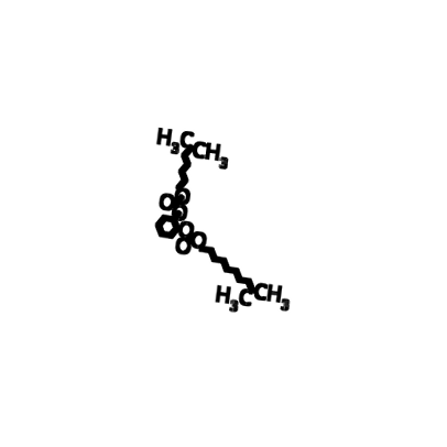 CC(C)CCCCCCCCOC(=O)OC1CCCCC1OC(=O)OCCCCCC(C)C